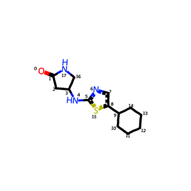 O=C1CC(Nc2ncc(C3CCCCC3)s2)CN1